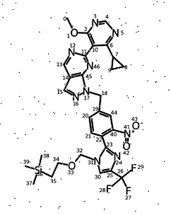 COc1ncnc(C2CC2)c1-c1ncc2cnn(Cc3ccc(-c4nc(C(F)(F)F)cn4COCC[Si](C)(C)C)c([N+](=O)[O-])c3)c2n1